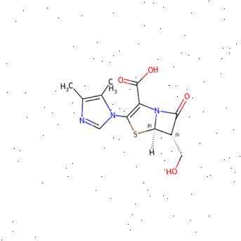 Cc1ncn(C2=C(C(=O)O)N3C(=O)[C@H](CO)[C@H]3S2)c1C